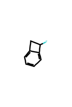 FC1Cc2c[c]ccc21